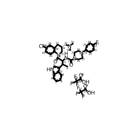 CC(c1c[nH]c2ccccc12)C(NC(=O)N1CCN(c2ccc(F)cc2)CC1)C(=O)N1C[C@@H](CN(C)C)Cc2cc(Cl)ccc21.O=C(O)C(F)(F)F.O=C(O)C(F)(F)F